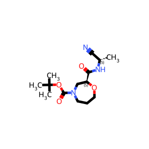 C[C@@H](C#N)NC(=O)[C@@H]1CN(C(=O)OC(C)(C)C)CCCO1